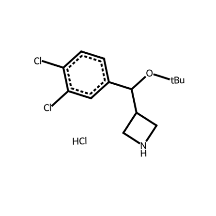 CC(C)(C)OC(c1ccc(Cl)c(Cl)c1)C1CNC1.Cl